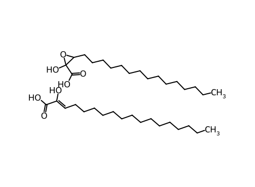 CCCCCCCCCCCCCCCC1OC1(O)C(=O)O.CCCCCCCCCCCCCCCC=C(O)C(=O)O